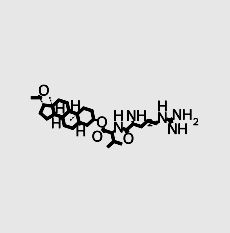 CC(=O)[C@H]1CC[C@H]2[C@@H]3CC[C@H]4C[C@H](OC(=O)[C@@H](NC(=O)[C@@H](N)CCCNC(=N)N)C(C)C)CC[C@]4(C)[C@H]3CC[C@]12C